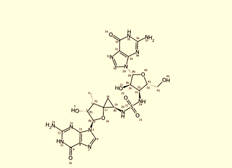 C[C@H]1[C@@H](O)[C@H](n2cnc3c(=O)[nH]c(N)nc32)OC12C[C@H]2NS(=O)(=O)N[C@H]1[C@@H](O)[C@H](n2cnc3c(=O)[nH]c(N)nc32)O[C@@H]1CO